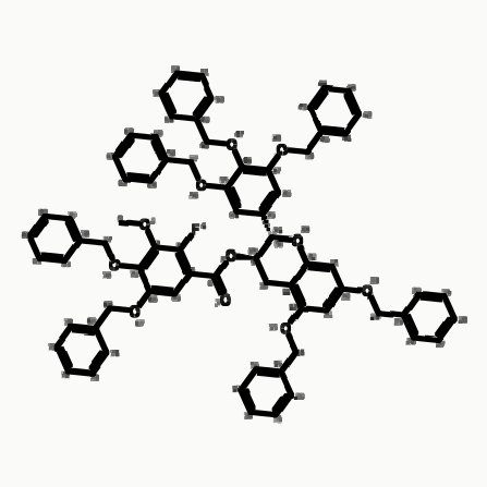 COc1c(F)c(C(=O)O[C@@H]2Cc3c(OCc4ccccc4)cc(OCc4ccccc4)cc3O[C@H]2c2cc(OCc3ccccc3)c(OCc3ccccc3)c(OCc3ccccc3)c2)cc(OCc2ccccc2)c1OCc1ccccc1